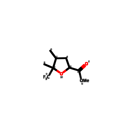 COC(=O)C1CC(C)C(C)(C(F)(F)F)O1